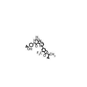 C[C@@H](C1CC1)N1Cc2cc(-c3ccn4nc(N)c(C(=O)N[C@H]5CC[C@H](C6(O)CC6)CC5)c4n3)cc(C(F)(F)F)c2C1=O